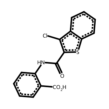 O=C(O)c1ccccc1NC(=O)c1sc2ccccc2c1Cl